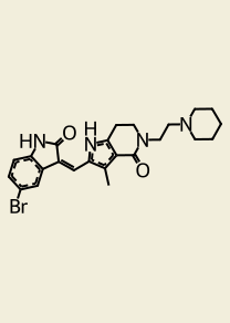 Cc1c(C=C2C(=O)Nc3ccc(Br)cc32)[nH]c2c1C(=O)N(CCN1CCCCC1)CC2